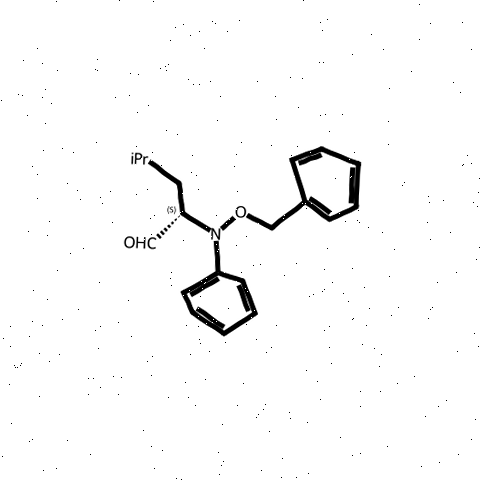 CC(C)C[C@@H](C=O)N(OCc1ccccc1)c1ccccc1